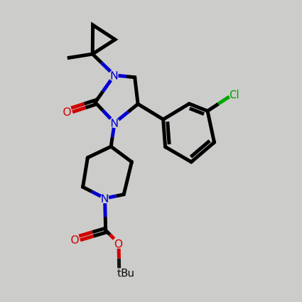 CC(C)(C)OC(=O)N1CCC(N2C(=O)N(C3(C)CC3)CC2c2cccc(Cl)c2)CC1